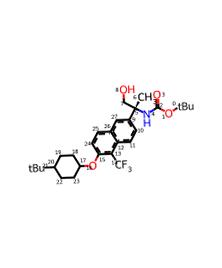 CC(C)(C)OC(=O)N[C@@](C)(CO)c1ccc2c(C(F)(F)F)c(OC3CCC(C(C)(C)C)CC3)ccc2c1